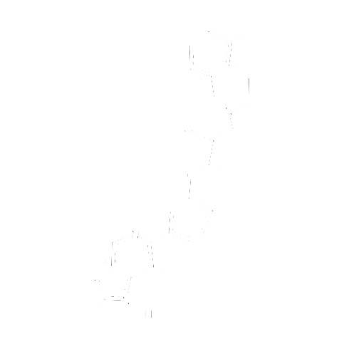 Cn1ccc2cnc(-c3cccc(OCC(O)CN4CCc5ccccc5C4)c3)cc21